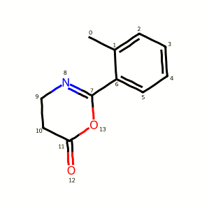 Cc1ccccc1C1=NCCC(=O)O1